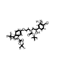 CC(C)(C)OC(=O)N(CCOc1ccc2c(C(F)(F)F)nn(C(=O)OC(C)(C)C)c2c1)C[C@H](O)c1ccc(Cl)c(N)c1